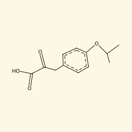 CC(C)Oc1ccc(CC(=O)C(=O)O)cc1